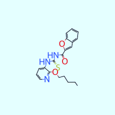 CCCCCOc1ncccc1NC(=S)NC(=O)c1cc2ccccc2o1